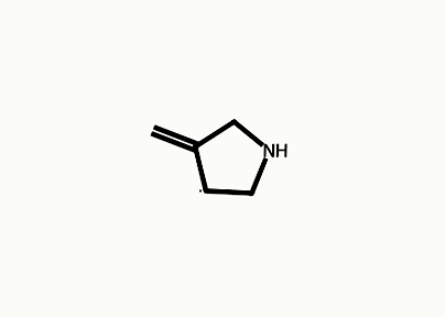 C=C1[CH]CNC1